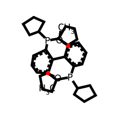 COc1cccc(P(C2CCCC2)C2CCCC2)c1-c1c(OC)cccc1P(C1CCCC1)C1CCCC1